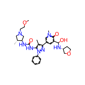 COCCN1C[C@@H](C)[C@H](NC(=O)Nc2c(C)c(-c3cc(C(O)N[C@@H]4CCOC4)c(=O)n(C)c3)nn2-c2ccccc2)C1